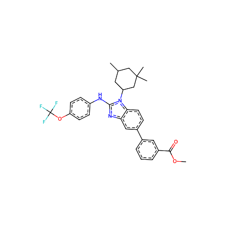 COC(=O)c1cccc(-c2ccc3c(c2)nc(Nc2ccc(OC(F)(F)F)cc2)n3C2CC(C)CC(C)(C)C2)c1